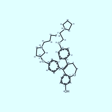 Oc1ccc2c(c1)OCCC(c1ccc(OCCN3CCCC3)cc1)=C2c1ccc(O[C@H]2CCN(CCCF)C2)cc1